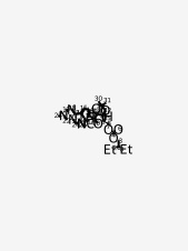 CCC(CC)COC(=O)OC[C@H]1O[C@@](C#N)(c2ccc3c(/N=C\N(C)C)ncnn23)[C@@H]2OC(C)(C)O[C@@H]21